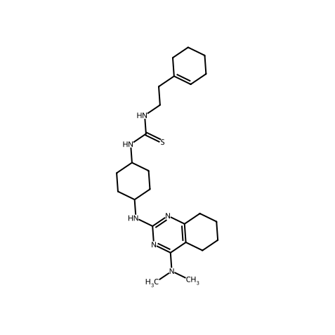 CN(C)c1nc(NC2CCC(NC(=S)NCCC3=CCCCC3)CC2)nc2c1CCCC2